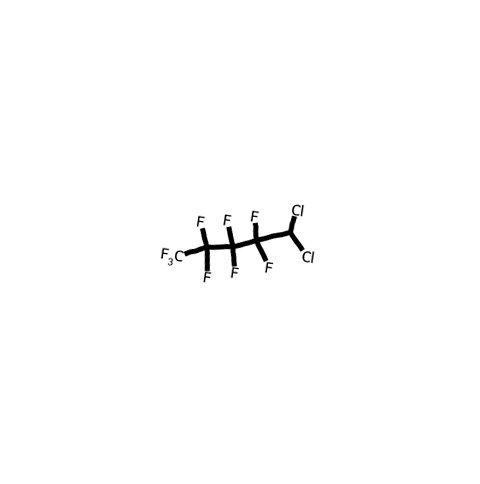 FC(F)(F)C(F)(F)C(F)(F)C(F)(F)C(Cl)Cl